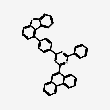 c1ccc(-c2nc(-c3ccc(-c4cccc5oc6ccccc6c45)cc3)nc(-c3cc4ccccc4c4ccccc34)n2)cc1